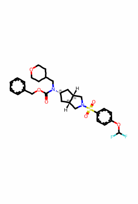 O=C(OCc1ccccc1)N(CC1CCOCC1)[C@@H]1C[C@@H]2CN(S(=O)(=O)c3ccc(OC(F)F)cc3)C[C@@H]2C1